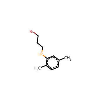 Cc1ccc(C)c(PCCCBr)c1